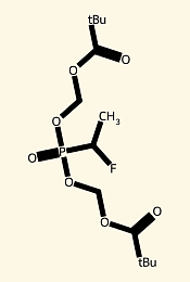 CC(F)P(=O)(OCOC(=O)C(C)(C)C)OCOC(=O)C(C)(C)C